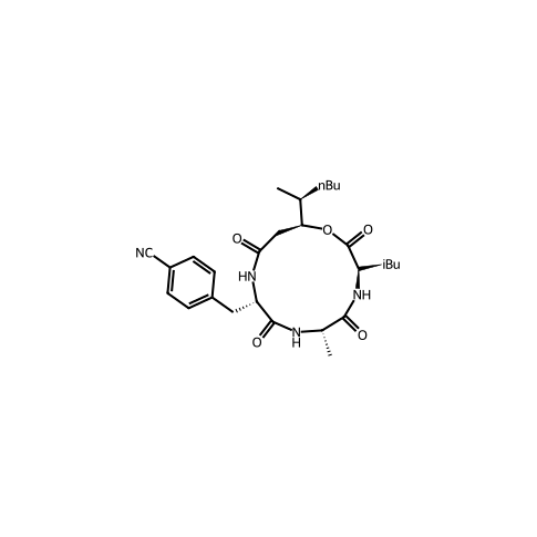 CCCC[C@H](C)[C@@H]1CC(=O)N[C@@H](Cc2ccc(C#N)cc2)C(=O)N[C@@H](C)C(=O)N[C@H]([C@H](C)CC)C(=O)O1